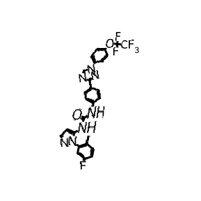 Cc1ccc(F)cc1-n1nccc1NC(=O)Nc1ccc(-c2ncn(-c3ccc(OC(F)(F)C(F)(F)F)cc3)n2)cc1